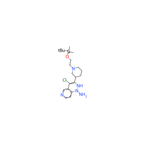 CC(C)(C)[Si](C)(C)OCCN1CCCC(C2=C(Cl)c3cnccc3N(N)N2)C1